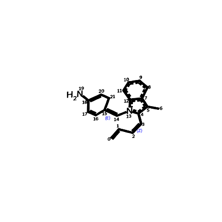 C=C/C=C\c1c(C)c2ccccc2n1/C=C1/C=CC(N)=CC1